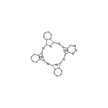 c1ccc2c(c1)-c1nc-2nc2[nH]c(nc3nc(nc4[nH]c(n1)c1ccccc41)-c1ccccc1-3)c1nnncc21